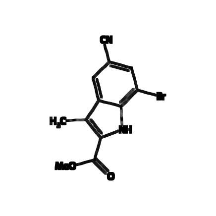 COC(=O)c1[nH]c2c(Br)cc(C#N)cc2c1C